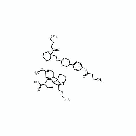 CCCCC(=O)C1(C2(c3ccc(OC)cc3)CCCCC2)CCC(C(=O)O)CC1.CCCCC(=O)C1(COC2CCC(c3ccc(OC(=O)CCC)cc3)CC2)CCCCC1